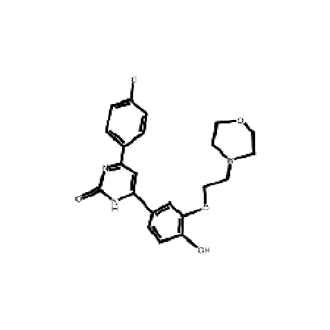 O=c1nc(-c2ccc(Cl)cc2)cc(-c2ccc(O)c(OCCN3CCOCC3)c2)[nH]1